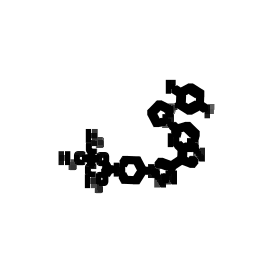 CC(C)(C)OC(=O)N1CCC(n2cc(-c3cnn4ccc(N5CCC[C@@H]5c5cc(F)ccc5F)nc34)nn2)CC1